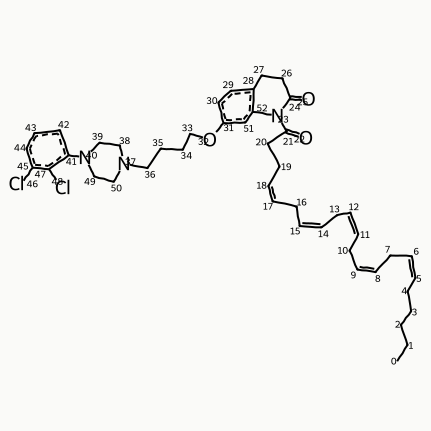 CCCCC/C=C\C/C=C\C/C=C\C/C=C\C/C=C\CCC(=O)N1C(=O)CCc2ccc(OCCCCN3CCN(c4cccc(Cl)c4Cl)CC3)cc21